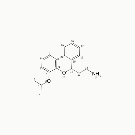 CC(C)Oc1ccccc1OC(CCN)c1ccccc1